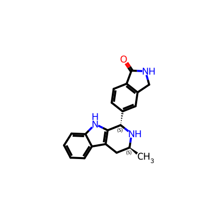 C[C@H]1Cc2c([nH]c3ccccc23)[C@H](c2ccc3c(c2)CNC3=O)N1